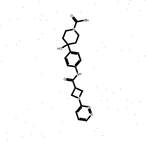 CC(C)(C)C(=O)N1CCC(O)(c2ccc(NC(=O)C3CN(c4cccnn4)C3)cc2)CC1